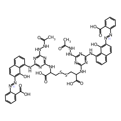 CC(=O)NNc1nc(Nc2cccc3ccc(/N=N/c4ccccc4C(=O)O)c(O)c23)nc(NC(CSSCC(Nc2nc(NNC(C)=O)nc(Nc3cccc4ccc(/N=N/c5ccccc5C(=O)O)c(O)c34)n2)C(=O)O)C(=O)O)n1